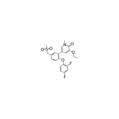 CCOc1cc(-c2cc(CS(C)(=O)=O)ccc2Oc2ccc(F)cc2F)cn(C)c1=O